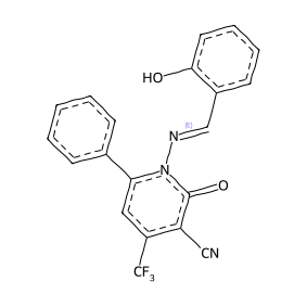 N#Cc1c(C(F)(F)F)cc(-c2ccccc2)n(/N=C/c2ccccc2O)c1=O